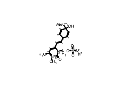 COC1(O)C=CC(/C=C/c2cc(C)[n+](C)c(=O)n2C)C=C1.O=S(=O)([O-])[O-].[H+]